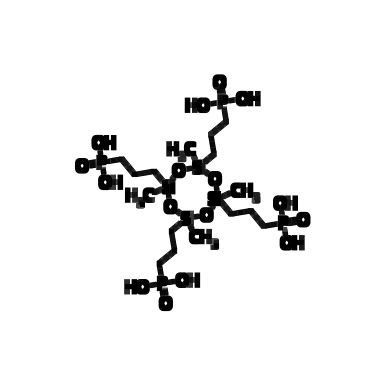 C[Si]1(CCCP(=O)(O)O)O[Si](C)(CCCP(=O)(O)O)O[Si](C)(CCCP(=O)(O)O)O[Si](C)(CCCP(=O)(O)O)O1